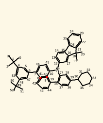 CC(C)(C)c1cc(-c2ccc(N(c3ccc4c(c3)C(C)(C)c3ccccc3-4)c3cc(C4CCCCC4)ccc3-c3ccccc3)cc2)cc(C(C)(C)C)c1